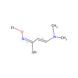 CCCC(/C=C/N(C)C)=N/OCC